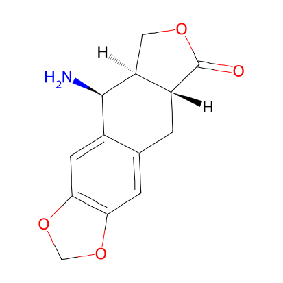 N[C@@H]1c2cc3c(cc2C[C@H]2C(=O)OC[C@H]12)OCO3